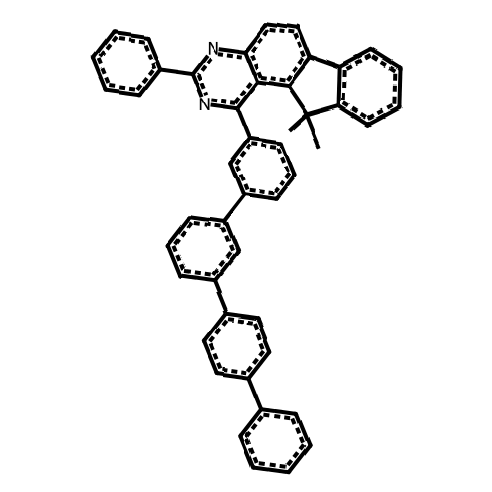 CC1(C)c2ccccc2-c2ccc3nc(-c4ccccc4)nc(-c4cccc(-c5cccc(-c6ccc(-c7ccccc7)cc6)c5)c4)c3c21